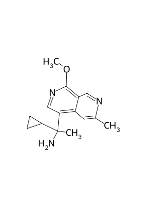 COc1ncc(C(C)(N)C2CC2)c2cc(C)ncc12